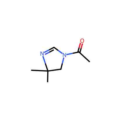 CC(=O)N1C=NC(C)(C)C1